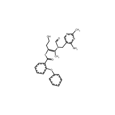 CC(=C(CCO)SC(=O)c1ccccc1Oc1ccccc1)N(C=O)Cc1cnc(C)nc1N